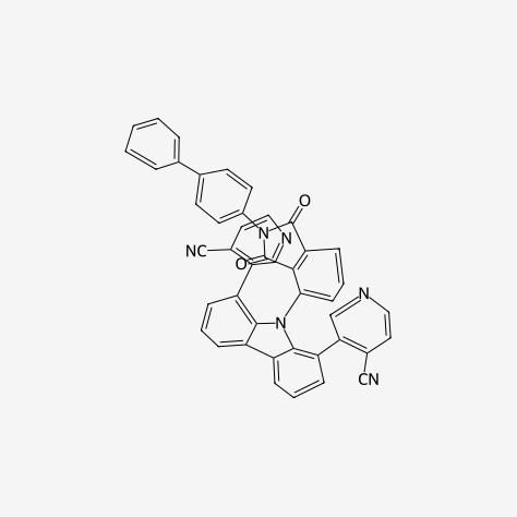 N#Cc1ccncc1-c1cccc2c3cccc(-c4cnccc4C#N)c3n(-c3cccc4c3C(=O)N(c3ccc(-c5ccccc5)cc3)C4=O)c12